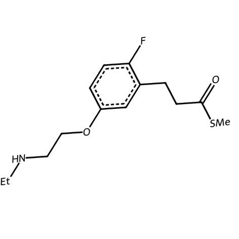 CCNCCOc1ccc(F)c(CCC(=O)SC)c1